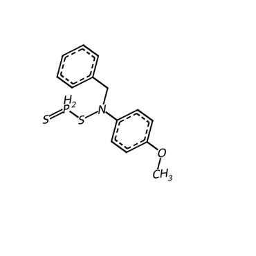 COc1ccc(N(Cc2ccccc2)S[PH2]=S)cc1